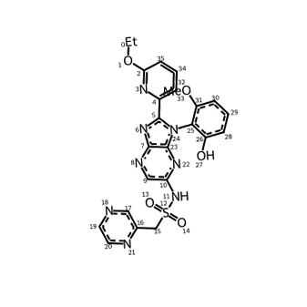 CCOC1=NC(c2nc3ncc(NS(=O)(=O)Cc4cnccn4)nc3n2-c2c(O)cccc2OC)=C=C=C1